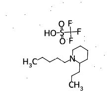 CCCCCN1CCCCC1CCC.O=S(=O)(O)C(F)(F)F